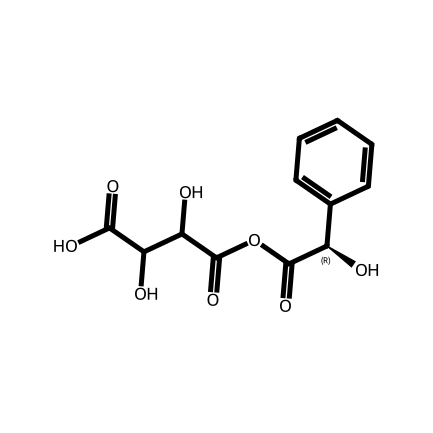 O=C(O)C(O)C(O)C(=O)OC(=O)[C@H](O)c1ccccc1